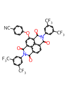 N#Cc1ccc(Oc2cc3c4c(ccc5c4c2C(=O)N(c2cc(C(F)(F)F)cc(C(F)(F)F)c2)C5=O)C(=O)N(c2cc(C(F)(F)F)cc(C(F)(F)F)c2)C3=O)cc1